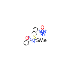 CSC(=Nc1noc2ccccc12)SCc1c(C)cccc1-n1nnn(C)c1=O